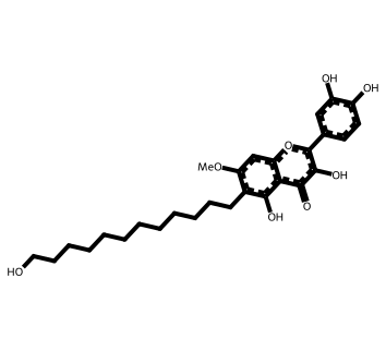 COc1cc2oc(-c3ccc(O)c(O)c3)c(O)c(=O)c2c(O)c1CCCCCCCCCCCCO